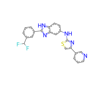 FC(F)c1cccc(-c2nc3cc(Nc4nc(-c5cccnc5)cs4)ccc3[nH]2)c1